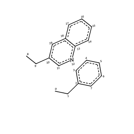 CCc1ccccc1.CCc1cnc2ccccc2c1